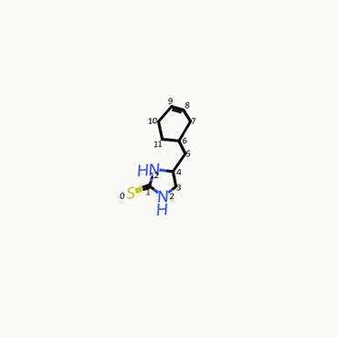 S=C1NCC(CC2CC=CCC2)N1